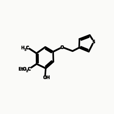 CCOC(=O)c1c(C)cc(OCc2ccsc2)cc1O